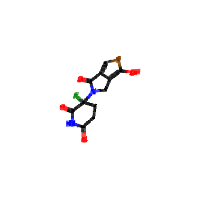 O=C1CCC(F)(N2Cc3c(csc3O)C2=O)C(=O)N1